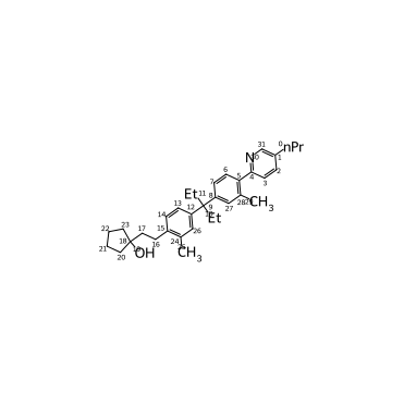 CCCc1ccc(-c2ccc(C(CC)(CC)c3ccc(CCC4(O)CCCC4)c(C)c3)cc2C)nc1